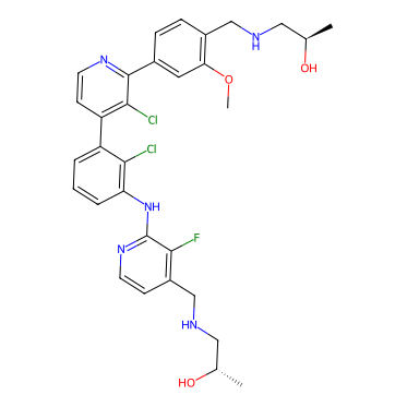 COc1cc(-c2nccc(-c3cccc(Nc4nccc(CNC[C@H](C)O)c4F)c3Cl)c2Cl)ccc1CNC[C@@H](C)O